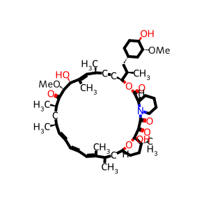 CO[C@@H]1C[C@H](C[C@@H](C)[C@@H]2CC[C@H](C)/C=C(\C)[C@@H](O)[C@@H](OC)C(=O)[C@H](C)C[C@H](C)/C=C/C=C/C=C(\C)C(C)C[C@@H]3CC[C@@H](C)[C@@](O)(O3)C(=O)C(=O)N3CCCC[C@H]3C(=O)O2)CC[C@H]1O